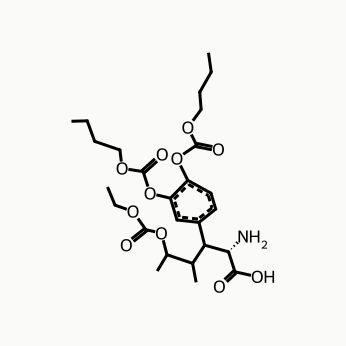 CCCCOC(=O)Oc1ccc(C(C(C)C(C)OC(=O)OCC)[C@H](N)C(=O)O)cc1OC(=O)OCCCC